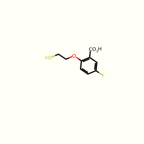 O=C(O)c1cc(F)ccc1OCCS